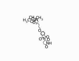 CN(CCCCCOc1ccc2c(c1)C(=O)N(C1CCC(=O)NC1=O)C2=O)C(=O)OC(C)(C)C